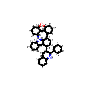 c1ccc(-c2nc3ccccc3cc2-c2ccc3c4cccc5oc6cccc(c6c54)n4c5ccccc5c2c34)cc1